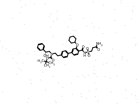 CC(C)(C)OC(=O)N(CCc1ccc(-c2ccc(C(=O)NS(=O)(=O)CCC(N)=O)c(OC3CCCCC3)c2)cc1)C[C@H](O)c1ccccc1